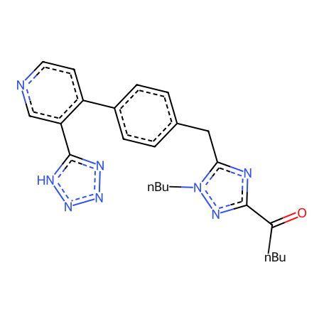 CCCCC(=O)c1nc(Cc2ccc(-c3ccncc3-c3nnn[nH]3)cc2)n(CCCC)n1